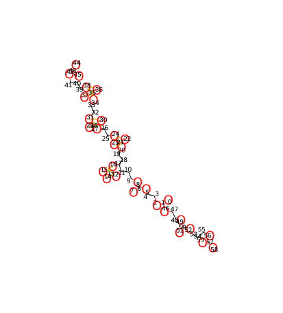 O=C(OCCOC(=O)OCCC1OS(=O)(=O)OC1CCOS(=O)(=O)OCCOS(=O)(=O)OCCOS(=O)(=O)OCC1COC(=O)O1)OCCOC(=O)OCC1COC(=O)O1